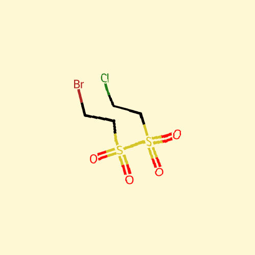 O=S(=O)(CCCl)S(=O)(=O)CCBr